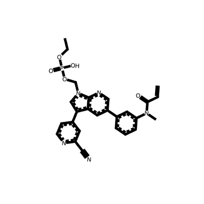 C=CC(=O)N(C)c1cccc(-c2cnc3c(c2)c(-c2ccnc(C#N)c2)cn3COP(=O)(O)OCC)c1